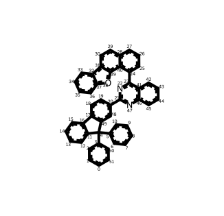 c1ccc(C2(c3ccccc3)c3ccccc3-c3ccc(-c4nc(-c5cccc6ccc7c8ccccc8oc7c56)c5ccccc5n4)cc32)cc1